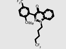 COc1ccc(C(F)(F)F)cc1-c1nn(CCCCC(F)(F)F)c2ccccc2c1=O